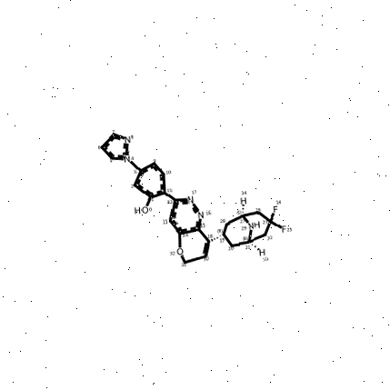 Oc1cc(-n2cccn2)ccc1-c1cc2c(nn1)C([C@H]1C[C@@H]3CC(F)(F)C[C@H](C1)N3)=CCO2